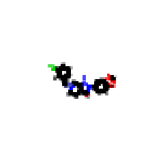 O=c1c2c([nH]n1-c1ccc3c(c1)OCO3)CN(Cc1cccc(Cl)c1)CC2